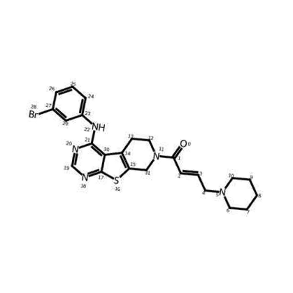 O=C(/C=C/CN1CCCCC1)N1CCc2c(sc3ncnc(Nc4cccc(Br)c4)c23)C1